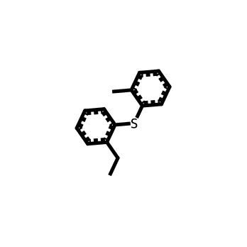 CCc1ccccc1Sc1ccccc1C